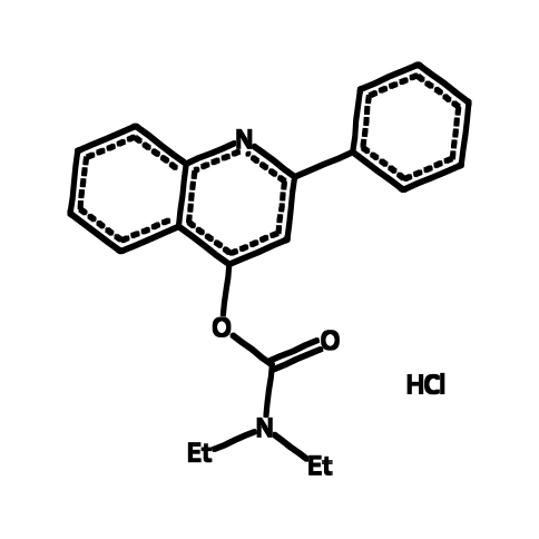 CCN(CC)C(=O)Oc1cc(-c2ccccc2)nc2ccccc12.Cl